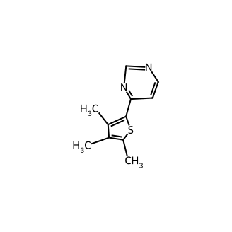 Cc1sc(-c2ccncn2)c(C)c1C